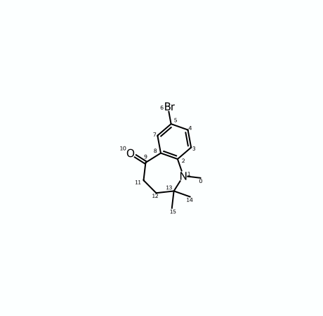 CN1c2ccc(Br)cc2C(=O)CCC1(C)C